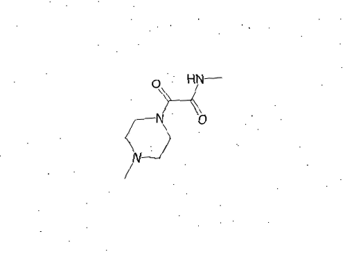 CNC(=O)C(=O)N1CCN(C)CC1